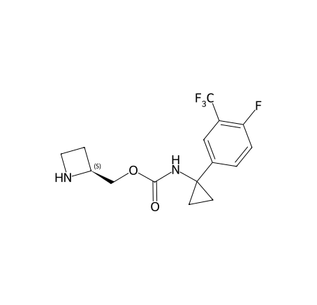 O=C(NC1(c2ccc(F)c(C(F)(F)F)c2)CC1)OC[C@@H]1CCN1